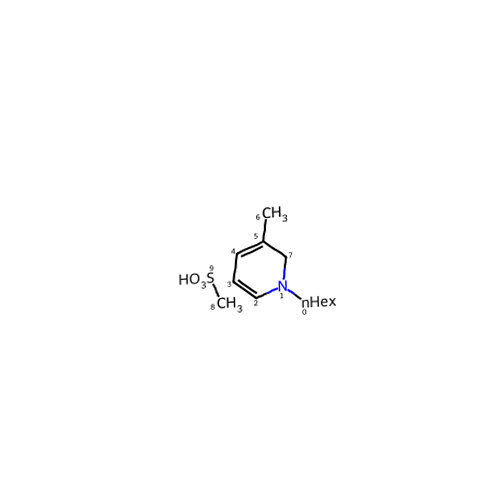 CCCCCCN1C=CC=C(C)C1.CS(=O)(=O)O